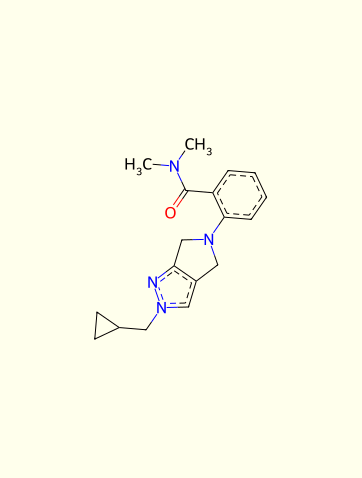 CN(C)C(=O)c1ccccc1N1Cc2cn(CC3CC3)nc2C1